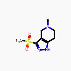 CN1CCc2[nH]nc(S(=O)(=O)C(F)(F)F)c2C1